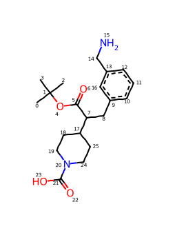 CC(C)(C)OC(=O)C(Cc1cccc(CN)c1)C1CCN(C(=O)O)CC1